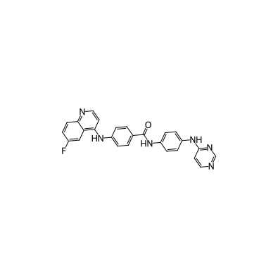 O=C(Nc1ccc(Nc2ccncn2)cc1)c1ccc(Nc2ccnc3ccc(F)cc23)cc1